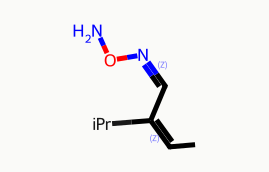 C/C=C(\C=N/ON)C(C)C